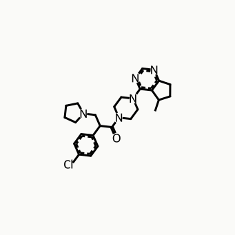 CC1CCc2ncnc(N3CCN(C(=O)C(CN4CCCC4)c4ccc(Cl)cc4)CC3)c21